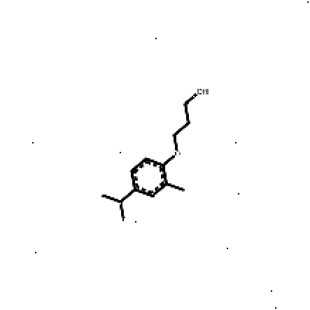 Cc1cc(C(C)C)ccc1OCCCO